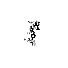 COc1ncnc(C2CC2)c1-c1ncc2nn(C(C)C)c(Cc3ccc(-c4nc(C(F)(F)F)cn4C)cc3)c2n1